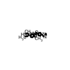 COc1ccc(N2CC(C)NC(C)C2)cc1NS(=O)(=O)c1ccc(-c2cnccn2)cc1